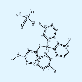 COc1cccc(C[PH](c2cccc(C)c2)(c2cccc(C)c2)c2cccc(C)c2)c1.O=P(O)(O)O